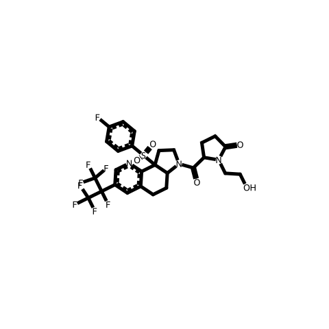 O=C1CCC(C(=O)N2CCC3(S(=O)(=O)c4ccc(F)cc4)c4ncc(C(F)(C(F)(F)F)C(F)(F)F)cc4CCC23)N1CCO